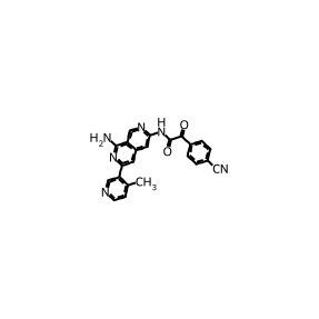 Cc1ccncc1-c1cc2cc(NC(=O)C(=O)c3ccc(C#N)cc3)ncc2c(N)n1